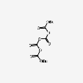 CC(C)COC(=O)OC(=O)OC(=O)OC(=O)OCC(C)C